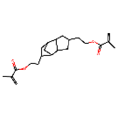 C=C(C)C(=O)OCCC1CC2C3CC(CCOC(=O)C(=C)C)C(C3)C2C1